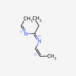 C\C=C/N=C(CC)\N=C/C